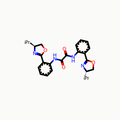 CC(C)[C@H]1COC(c2ccccc2NC(=O)C(=O)Nc2ccccc2C2=N[C@@H](C(C)C)CO2)=N1